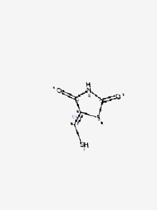 O=C1NC(=O)/C(=C/S)S1